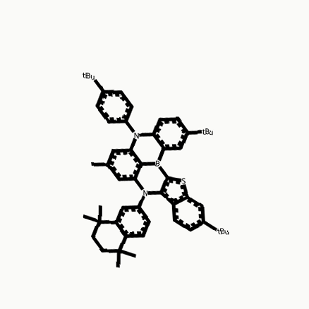 Cc1cc2c3c(c1)N(c1ccc4c(c1)C(C)(C)CCC4(C)C)c1c(sc4cc(C(C)(C)C)ccc14)B3c1cc(C(C)(C)C)ccc1N2c1ccc(C(C)(C)C)cc1